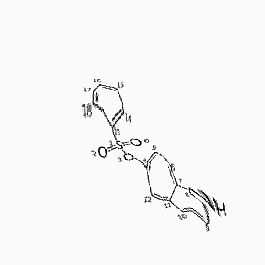 O=S(=O)(Oc1ccc2[nH]ccc2c1)c1ccccc1